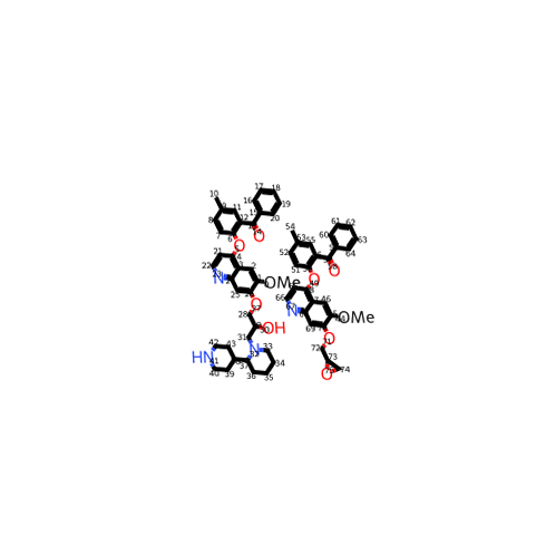 COc1cc2c(Oc3ccc(C)cc3C(=O)c3ccccc3)ccnc2cc1OCC(O)CN1CCCCC1C1CCNCC1.COc1cc2c(Oc3ccc(C)cc3C(=O)c3ccccc3)ccnc2cc1OCC1CO1